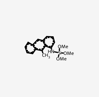 CO[Si](Nc1cccc2cc3ccccc3c(C)c12)(OC)OC